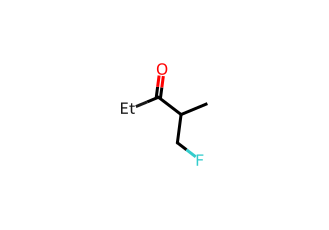 CCC(=O)C(C)CF